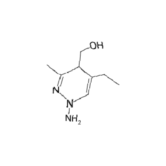 CCC1=CN(N)N=C(C)C1CO